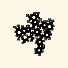 C=C/C(=C\C=C(C)C)N1c2cc(N(c3ccccc3)c3ccc4c(c3)oc3ccccc34)cc3c2B(c2cc4c(cc2N3c2ccc3c(c2)C(C)(C)CCC3(C)C)C(C)(C)CCC4(C)C)c2oc3cc4c(cc3c21)C(C)(C)CCC4(C)C